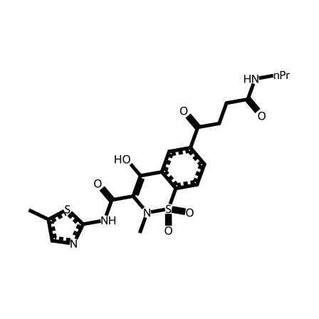 CCCNC(=O)CCC(=O)c1ccc2c(c1)C(O)=C(C(=O)Nc1ncc(C)s1)N(C)S2(=O)=O